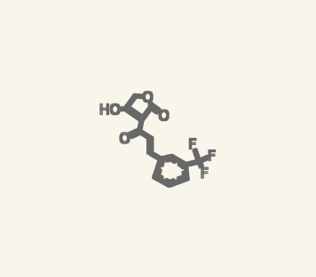 O=C(C=Cc1cccc(C(F)(F)F)c1)C1=C(O)COC1=O